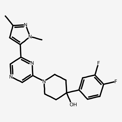 Cc1cc(-c2cncc(N3CCC(O)(c4ccc(F)c(F)c4)CC3)n2)n(C)n1